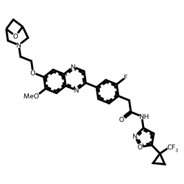 COc1cc2nc(-c3ccc(CC(=O)Nc4cc(C5(C(F)(F)F)CC5)on4)c(F)c3)cnc2cc1OCCN1CC2CC(C1)O2